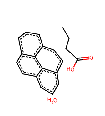 CCCC(=O)O.O.c1cc2ccc3cccc4ccc(c1)c2c34